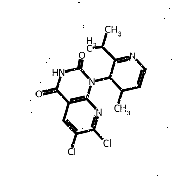 CC(C)C1=NC=CC(C)C1n1c(=O)[nH]c(=O)c2cc(Cl)c(Cl)nc21